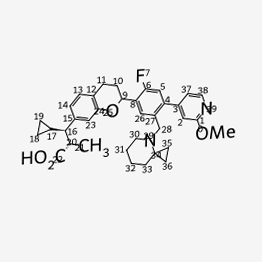 COc1cc(-c2cc(F)c(C3CCc4ccc([C@H](C5CC5)[C@H](C)C(=O)O)cc4O3)cc2CN2CCCCC23CC3)ccn1